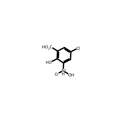 O=C(O)c1cc(Cl)cc([NH+]([O-])O)c1O